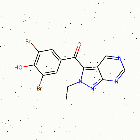 CCn1nc2ncncc2c1C(=O)c1cc(Br)c(O)c(Br)c1